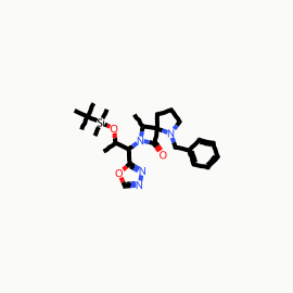 CC(O[Si](C)(C)C(C)(C)C)C(c1nnco1)N1C(=O)C2(CCCN2Cc2ccccc2)C1C